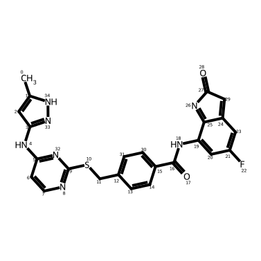 Cc1cc(Nc2ccnc(SCc3ccc(C(=O)Nc4cc(F)cc5c4=NC(=O)C=5)cc3)n2)n[nH]1